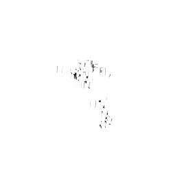 C/C=C\C(=C/C)C1=N[C@@H](CC(=O)NCCCCCCC(=O)Nc2cccc3c2CN(C2CCC(=O)NC2=O)C3=O)c2nnc(C)n2-c2sc(C)c(C)c21